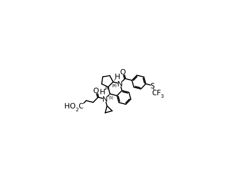 O=C(O)CCC(=O)N(C1CC1)[C@@H]1c2ccccc2N(C(=O)c2ccc(SC(F)(F)F)cc2)[C@@H]2CCC[C@@H]21